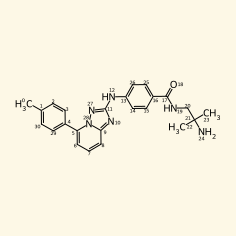 Cc1ccc(-c2cccc3nc(Nc4ccc(C(=O)NCC(C)(C)N)cc4)nn23)cc1